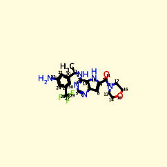 C[C@@H](NC1=NC=NC2C=C(C(=O)N3CCOCC3)NC12)c1cc(N)cc(C(F)(F)F)c1